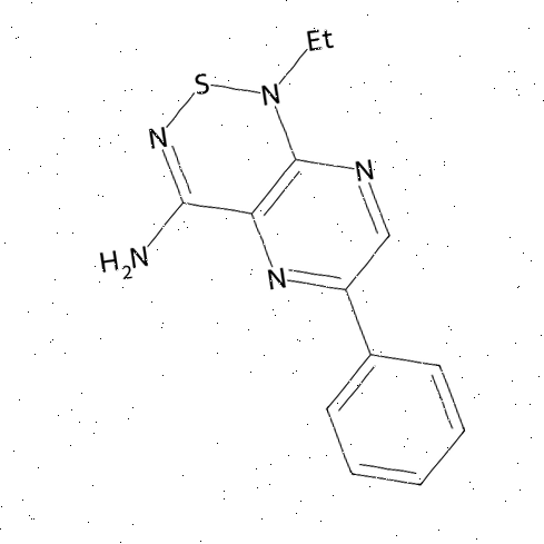 CCN1SN=C(N)c2nc(-c3ccccc3)cnc21